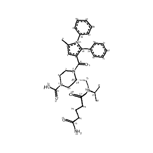 Cc1cc(C(=O)N2CCN(C(=O)O)C[C@H]2CN(C(=O)CCCC(N)=O)C(C)C)c(-c2ccccc2)n1-c1ccccc1